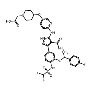 CC(Oc1cc(-c2n[nH]c(Nc3ccc(OC4CCN(CC(=O)O)CC4)cn3)c2C(N)=O)ccc1NS(=O)(=O)C(F)F)c1ccc(F)cc1